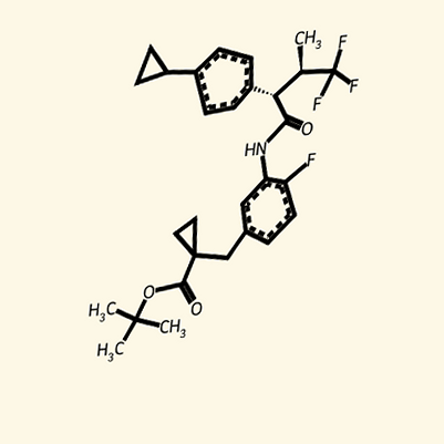 C[C@H]([C@H](C(=O)Nc1cc(CC2(C(=O)OC(C)(C)C)CC2)ccc1F)c1ccc(C2CC2)cc1)C(F)(F)F